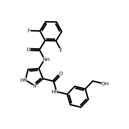 O=C(Nc1cccc(CO)c1)c1n[nH]cc1NC(=O)c1c(F)cccc1F